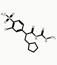 CNC(=O)NC(=O)C(CC1CCCC1)c1ccc(S(C)(=O)=O)c(Cl)c1